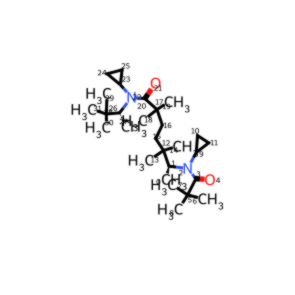 C[C@H](N(C(=O)C(C)(C)C)C1CC1)C(C)(C)CCC(C)(C)C(=O)N(C1CC1)[C@H](C)C(C)(C)C